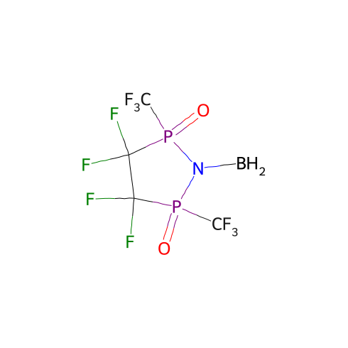 BN1P(=O)(C(F)(F)F)C(F)(F)C(F)(F)P1(=O)C(F)(F)F